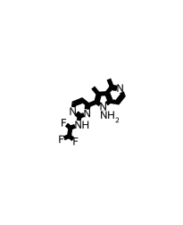 Cc1nccc2c1c(C)c(-c1ccnc(NC(F)C(F)F)n1)n2N